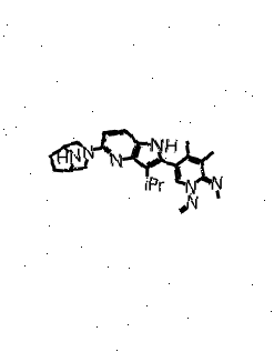 C=Nn1cc(-c2[nH]c3ccc(N4CC5CCC(C4)N5)nc3c2C(C)C)c(C)c(C)/c1=N/C